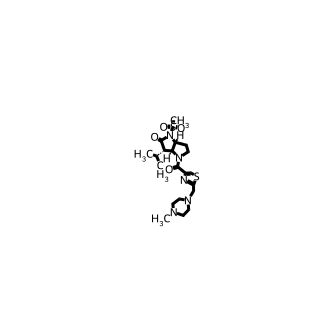 CC(C)[C@@H]1C(=O)N(S(C)(=O)=O)[C@@H]2CCN(C(=O)c3csc(CN4CCN(C)CC4)n3)[C@H]21